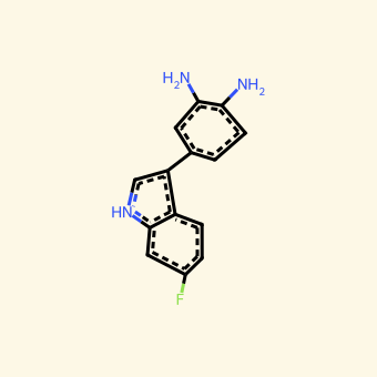 Nc1ccc(-c2c[nH]c3cc(F)ccc23)cc1N